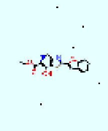 CCOC(=O)c1ncc2nc(-c3cc4ccccc4o3)sc2c1O